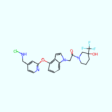 O=C(Cn1ccc2c(Oc3cc(CNCl)ccn3)cccc21)N1CCCC(O)(C(F)(F)F)C1